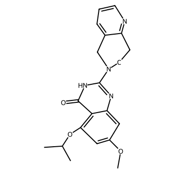 COc1cc(OC(C)C)c2c(=O)[nH]c(N3CCc4ncccc4C3)nc2c1